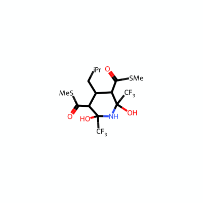 CSC(=O)C1C(CC(C)C)C(C(=O)SC)C(O)(C(F)(F)F)NC1(O)C(F)(F)F